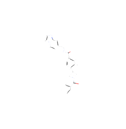 O=C(NCc1ccn2ccnc2c1)c1ccc(C2CN(C(=O)c3ccsc3)C2)cc1